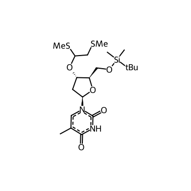 CSCC(O[C@H]1C[C@H](n2cc(C)c(=O)[nH]c2=O)O[C@@H]1CO[Si](C)(C)C(C)(C)C)SC